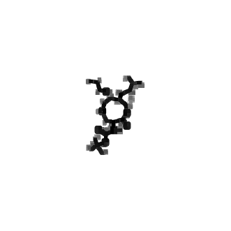 CCCO[C@H]1COC[C@H](NC(=O)OC(C)(C)C)C(=O)O[C@@H](C)[C@@H]1CCC(C)C